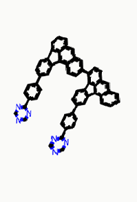 c1ccc2c3c4c(c(-c5ccc6c7c8c(cccc8cc6c5)-c5ccc(-c6ccc(-c8ncncn8)cc6)cc5-7)ccc4cc2c1)-c1ccc(-c2ccc(-c4ncncn4)cc2)cc1-3